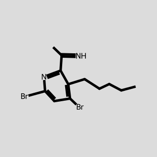 CCCCCc1c(Br)cc(Br)nc1C(C)=N